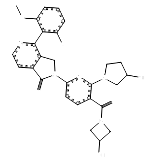 COc1cccc(F)c1-c1nccc2c1CN(c1ccc(C(=O)N3CC(O)C3)c(N3CCC(N)C3)n1)C2=O